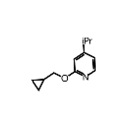 CC(C)c1ccnc(OCC2CC2)c1